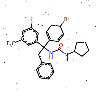 O=C(NC1CCCC1)NC(Cc1ccccc1)(C1=CCC(Br)C=C1)c1cc(F)cc(C(F)(F)F)c1